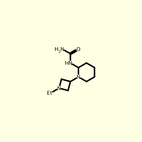 CCN1CC(N2CCCCC2NC(N)=O)C1